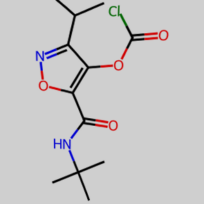 CC(C)c1noc(C(=O)NC(C)(C)C)c1OC(=O)Cl